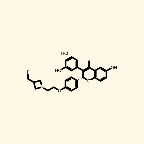 CC1=C(c2cccc(O)c2)[C@@H](c2ccc(OCCN3CC(CF)C3)cc2)Oc2ccc(O)cc21.Cl